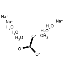 O.O.O.O.O.O.[Na+].[Na+].[Na+].[O-]B([O-])[O-]